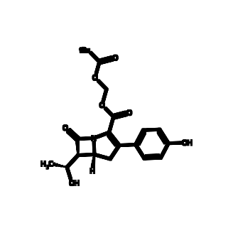 C[C@@H](O)[C@H]1C(=O)N2C(C(=O)OCOC(=O)C(C)(C)C)=C(c3ccc(O)cc3)C[C@H]12